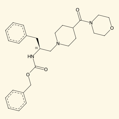 O=C(N[C@@H](Cc1ccccc1)CN1CCC(C(=O)N2CCOCC2)CC1)OCc1ccccc1